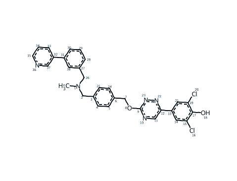 CN(Cc1ccc(COc2ncc(-c3cc(Cl)c(O)c(Cl)c3)nn2)cc1)Cc1cccc(-c2cccnc2)c1